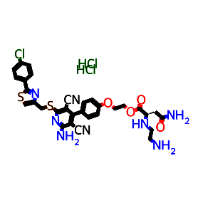 Cl.Cl.N#Cc1c(N)nc(SCc2csc(-c3ccc(Cl)cc3)n2)c(C#N)c1-c1ccc(OCCOC(=O)[C@H](CC(N)=O)NCCN)cc1